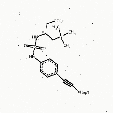 CCCCCCCC#Cc1ccc(NS(=O)(=O)N[C@H](CC(=O)[O-])C[N+](C)(C)C)cc1